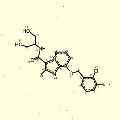 Cc1cccc(COc2cccn3c(C(=O)NC(CO)CO)c(C)nc23)c1Cl